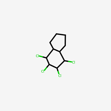 ClC1C(Cl)C(Cl)C2CCCCC2C1Cl